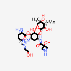 CN[C@@H]1C(O)[C@@H](OC2C(O)C(O[C@H]3O[C@H](CNCCO)CCC3N)[C@@H](N)C[C@H]2NC(=O)C2(O)CNC2)OCC1(C)O